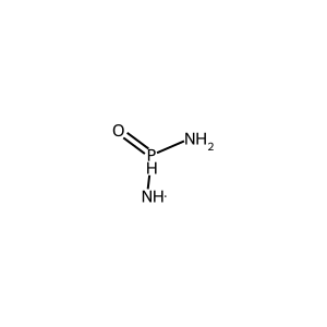 [NH][PH](N)=O